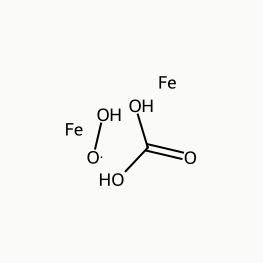 O=C(O)O.[Fe].[Fe].[O]O